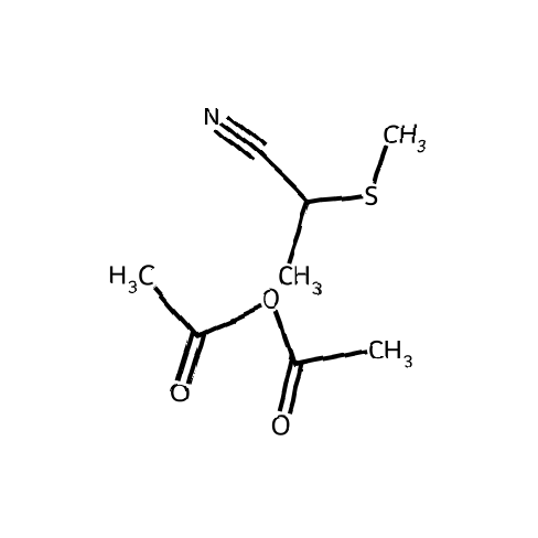 CC(=O)OC(C)=O.CSC(C)C#N